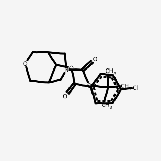 CC(C)(C)OC(=O)N1CC2COCC(C1)C2OC(=O)c1ccc(Cl)cc1